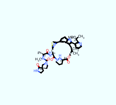 CCn1c(-c2cccnc2[C@H](C)OC)c2c3cc(ccc31)-c1csc(n1)C[C@H](NC(=O)[C@H](C(C)C)N(C)C(=O)N1CC[C@]3(CCNC3=O)C1)C(=O)N1CCC[C@H](N1)C(=O)OCC(C)(C)C2